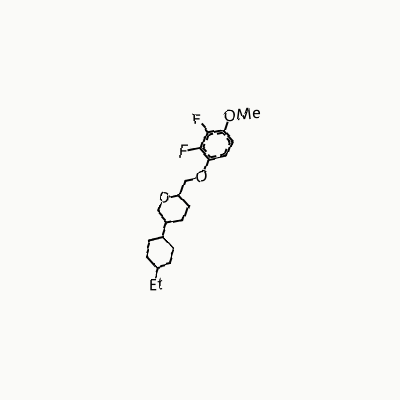 CCC1CCC(C2CCC(COc3ccc(OC)c(F)c3F)OC2)CC1